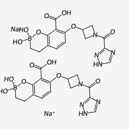 O=C(O)c1c(OC2CN(C(=O)c3nc[nH]n3)C2)ccc2c1O[B-](O)(O)CC2.O=C(O)c1c(OC2CN(C(=O)c3nc[nH]n3)C2)ccc2c1O[B-](O)(O)CC2.[Na+].[Na+]